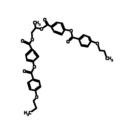 CCCOc1ccc(C(=O)Oc2ccc(C(=O)OCC(C)OC(=O)c3ccc(OC(=O)c4ccc(OCCC)cc4)cc3)cc2)cc1